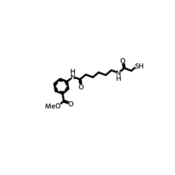 COC(=O)c1cccc(NC(=O)CCCCCNC(=O)CS)c1